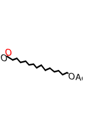 COC(=O)CCCCCCCCCCCCCCOC(C)=O